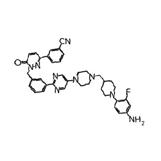 N#Cc1cccc(-c2ccc(=O)n(Cc3cccc(-c4ncc(N5CCN(CC6CCN(c7ccc(N)cc7F)CC6)CC5)cn4)c3)n2)c1